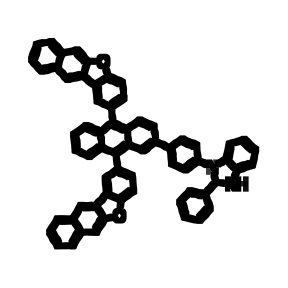 c1ccc(C2Nc3ccccc3N2c2ccc(-c3ccc4c(-c5ccc6oc7cc8ccccc8cc7c6c5)c5ccccc5c(-c5ccc6oc7cc8ccccc8cc7c6c5)c4c3)cc2)cc1